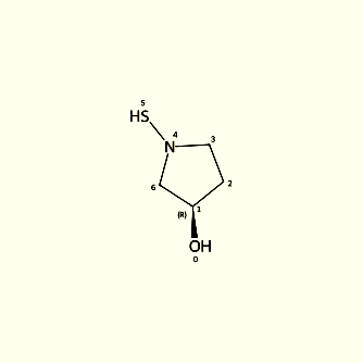 O[C@@H]1CCN(S)C1